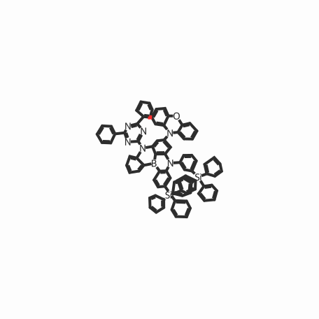 c1ccc(-c2nc(-c3ccccc3)nc(N3c4ccccc4B4c5ccc([Si](c6ccccc6)(c6ccccc6)c6ccccc6)cc5N(c5cccc([Si](c6ccccc6)(c6ccccc6)c6ccccc6)c5)c5cc(N6c7ccccc7Oc7ccccc76)cc3c54)n2)cc1